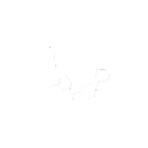 OC(c1ccc(OCCOC(F)(F)F)c(F)c1)N1CCC2(c3cccc(F)c3)OCOC2C1